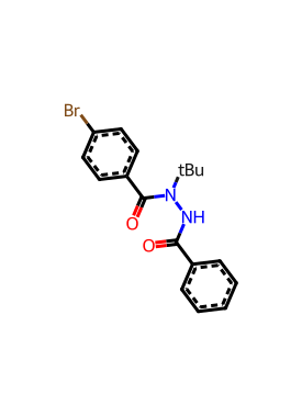 CC(C)(C)N(NC(=O)c1ccccc1)C(=O)c1ccc(Br)cc1